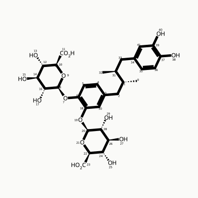 C[C@H](Cc1ccc(O[C@@H]2O[C@H](C(=O)O)[C@@H](O)[C@H](O)[C@H]2O)c(O[C@@H]2O[C@H](C(=O)O)[C@@H](O)[C@H](O)[C@H]2O)c1)[C@@H](C)Cc1ccc(O)c(O)c1